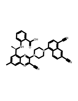 Cc1cc([C@@H](C)Nc2ccccc2C(=O)O)c2nc(N3CCN(c4ccc(C#N)c5cc(C#N)ccc45)CC3)c(C#N)nc2c1